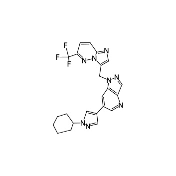 FC(F)(F)c1ccc2ncc(Cn3ncc4ncc(-c5cnn(C6CCCCC6)c5)cc43)n2n1